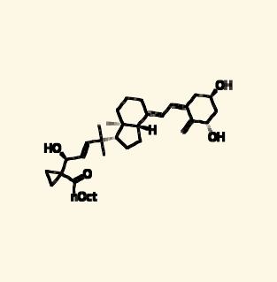 C=C1/C(=C\C=C2/CCC[C@]3(C)[C@@H](C(C)(C)/C=C/[C@H](O)C4(C(=O)CCCCCCCC)CC4)CC[C@@H]23)C[C@@H](O)C[C@@H]1O